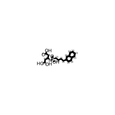 O=C(O)CC(CC(=O)O)NP(=O)(O)CCCCc1ccc2ccccc2c1